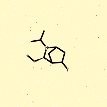 CC[C@@H]1C2CC(CC2F)N1C(C)C